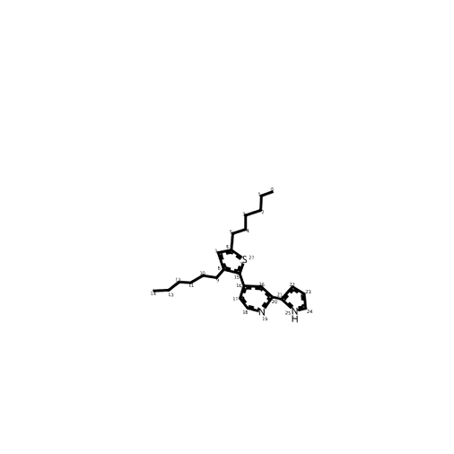 CCCCCCc1cc(CCCCCC)c(-c2ccnc(-c3ccc[nH]3)c2)s1